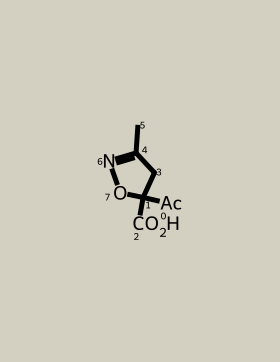 CC(=O)C1(C(=O)O)CC(C)=NO1